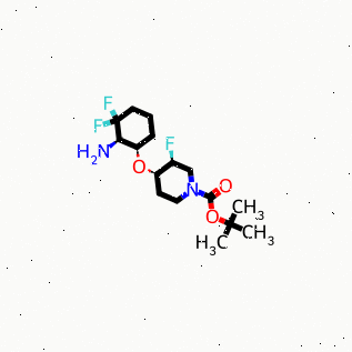 CC(C)(C)OC(=O)N1CC[C@H](O[C@H]2CCCC(F)(F)[C@@H]2N)[C@@H](F)C1